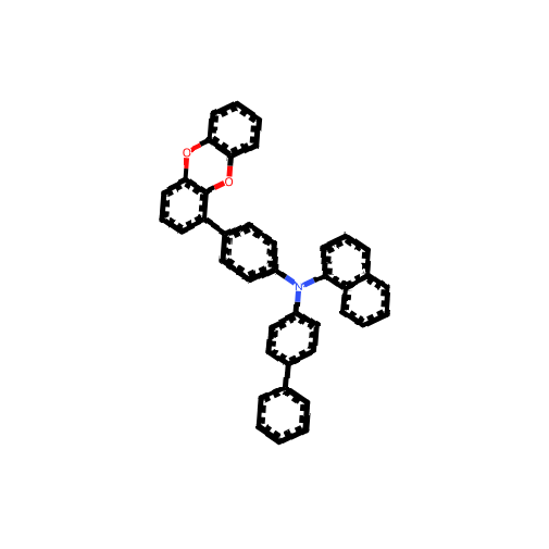 c1ccc(-c2ccc(N(c3ccc(-c4cccc5c4Oc4ccccc4O5)cc3)c3cccc4ccccc34)cc2)cc1